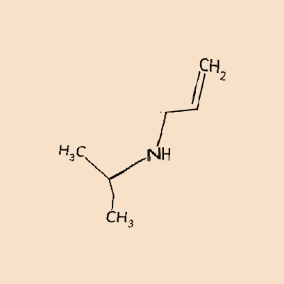 C=C[CH]NC(C)C